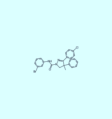 CC1(c2ccccc2)CN(C(=O)Nc2cccc(Br)c2)N=C1c1ccc(Cl)cc1